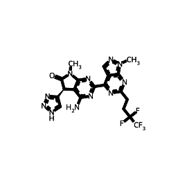 CN1C(=O)[C@H](c2c[nH]nn2)c2c(N)nc(-c3nc(CCC(F)(F)C(F)(F)F)nc4c3cnn4C)nc21